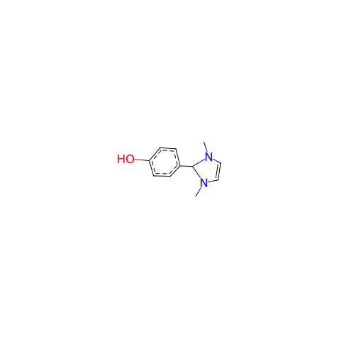 CN1C=CN(C)C1c1ccc(O)cc1